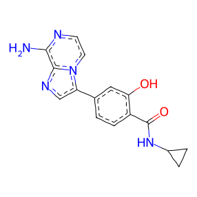 Nc1nccn2c(-c3ccc(C(=O)NC4CC4)c(O)c3)cnc12